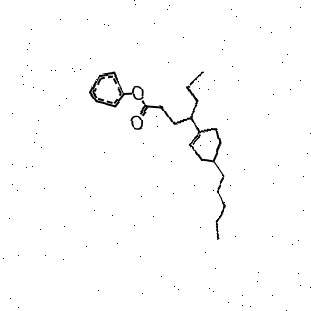 CCCCCC1CC=C(C(CCC)CCC(=O)Oc2ccccc2)CC1